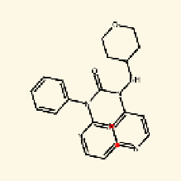 O=C(N(NC1CCOCC1)c1ccncc1)N(c1ccccc1)c1ncccn1